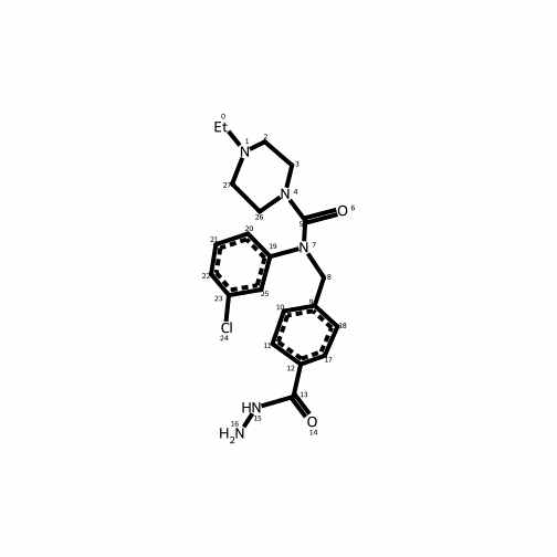 CCN1CCN(C(=O)N(Cc2ccc(C(=O)NN)cc2)c2cccc(Cl)c2)CC1